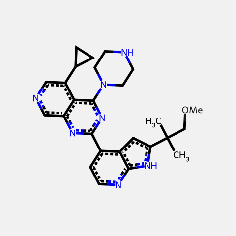 COCC(C)(C)c1cc2c(-c3nc(N4CCNCC4)c4c(C5CC5)cncc4n3)ccnc2[nH]1